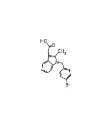 Cc1c(CC(=O)O)c2ccccc2n1Cc1ccc(Br)cc1